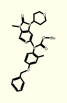 Cc1cc(OCc2ccccc2)ccc1N(C(=O)OC(C)(C)C)c1cc2c(cn1)n(C)c(=O)n2C1CCOCC1